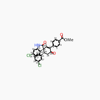 COC(=O)c1ccc(C2=C[C@@]3(C(=O)Nc4cc(Cl)ccc43)[C@H](c3cccc(Cl)c3)CC2=O)cc1